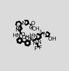 COC(=O)[C@@H]1CCN([C@H]2CCCn3nc(C(=O)Nc4cccc(-c5cccc(Nc6nc(C(F)F)nc7cc(CN8CC[C@@H](O)C8)cnc67)c5C)c4C)cc32)C1